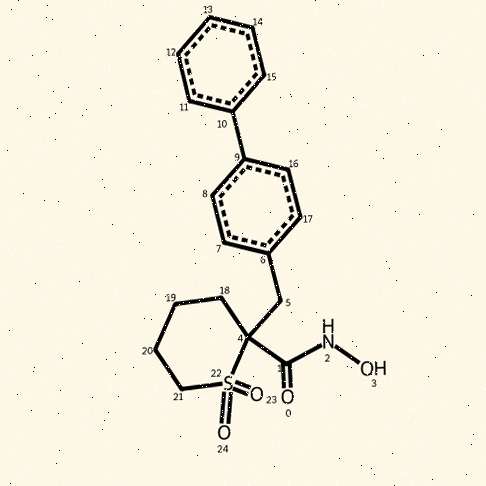 O=C(NO)C1(Cc2ccc(-c3ccccc3)cc2)CCCCS1(=O)=O